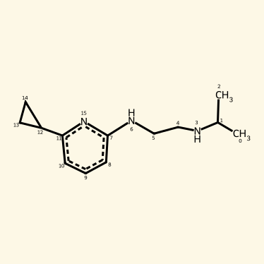 CC(C)NCCNc1cccc(C2CC2)n1